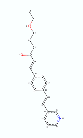 CCOCCCC(=O)C=Cc1ccc(C=Cc2cccnc2)cc1